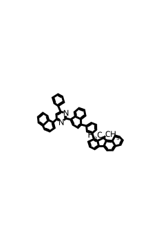 CC1(C)c2c(-c3cccc(-c4ccc(-c5nc(-c6ccccc6)cc(-c6cccc7ccccc67)n5)c5ccccc45)c3)cccc2-c2ccc3ccccc3c21